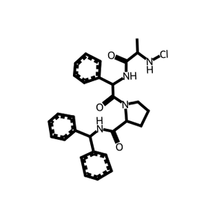 CC(NCl)C(=O)NC(C(=O)N1CCCC1C(=O)NC(c1ccccc1)c1ccccc1)c1ccccc1